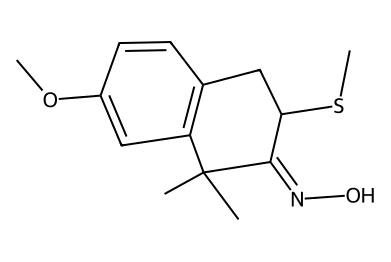 COc1ccc2c(c1)C(C)(C)C(=NO)C(SC)C2